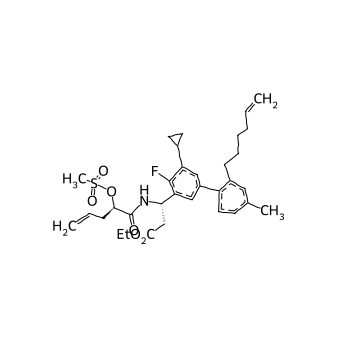 C=CCCCCc1cc(C)ccc1-c1cc(C2CC2)c(F)c([C@H](CC(=O)OCC)NC(=O)[C@@H](CC=C)OS(C)(=O)=O)c1